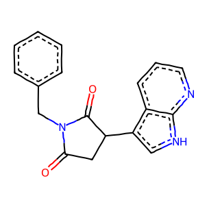 O=C1CC(c2c[nH]c3ncccc23)C(=O)N1Cc1ccccc1